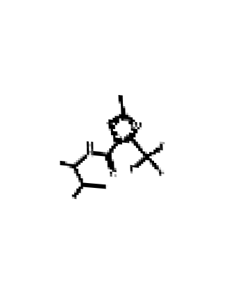 Cc1cc(C(=O)NC(C)C(C)C)c(C(F)(F)F)o1